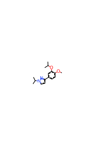 COc1ccc(-c2ccn(C(C)C)n2)cc1OC(C)C